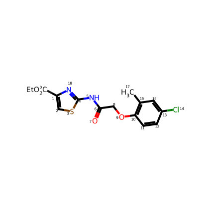 CCOC(=O)c1csc(NC(=O)COc2ccc(Cl)cc2C)n1